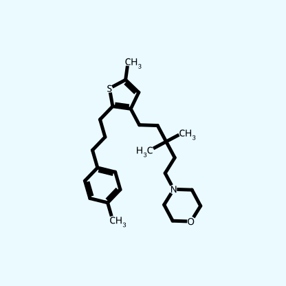 Cc1ccc(CCCc2sc(C)cc2CCC(C)(C)CCN2CCOCC2)cc1